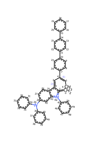 C=c1/c(=C\C(=C/C)c2ccc(-c3ccc(-c4ccccc4)cc3)cc2)c2ccc(N(c3ccccc3)c3ccccc3)cc2n1-c1ccccc1